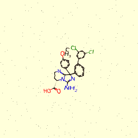 COc1ccc(C2(c3cccc(-c4cc(Cl)cc(Cl)c4)c3)N=C(N)N3C2=NCC[C@H]3C(=O)O)cc1